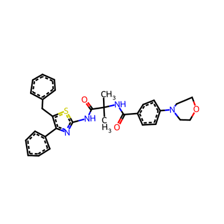 CC(C)(NC(=O)c1ccc(N2CCOCC2)cc1)C(=O)Nc1nc(-c2ccccc2)c(Cc2ccccc2)s1